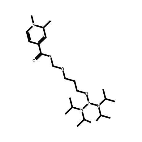 CC1C=C(C(=O)SCOCCCOP(N(C(C)C)C(C)C)N(C(C)C)C(C)C)C=CN1C